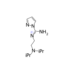 CC(C)N(CC/N=C(\N)n1cccn1)C(C)C